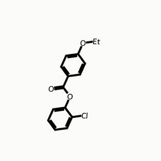 CCOc1ccc(C(=O)Oc2ccccc2Cl)cc1